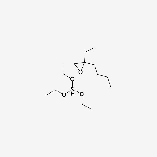 CCCCC1(CC)CO1.CCO[SiH](OCC)OCC